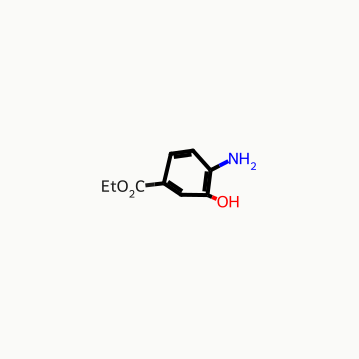 CCOC(=O)c1ccc(N)c(O)c1